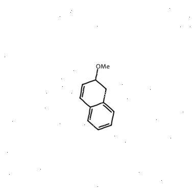 COC1C=Cc2ccccc2C1